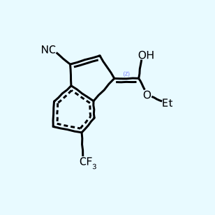 CCO/C(O)=C1/C=C(C#N)c2ccc(C(F)(F)F)cc21